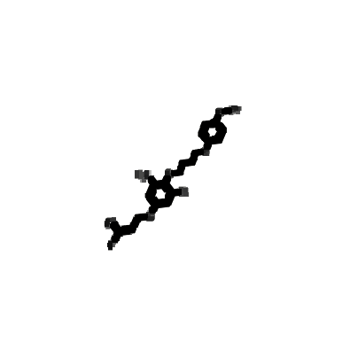 CCc1cc(OCC=C(F)Cl)cc(C)c1OCCCCOc1ccc(OC(C)C)cc1